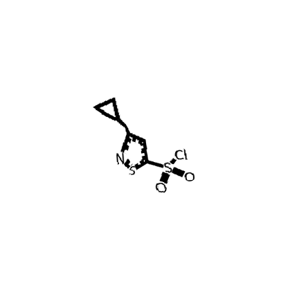 O=S(=O)(Cl)c1cc(C2CC2)ns1